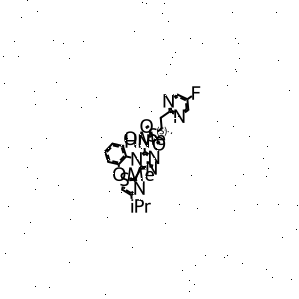 COc1cccc(OC)c1-n1c(NS(=O)(=O)[C@@H](C)Cc2ncc(F)cn2)nnc1-c1nc(C(C)C)cs1